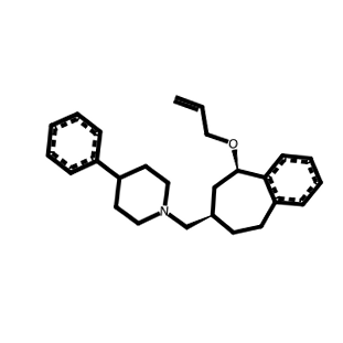 C=CCO[C@@H]1C[C@H](CN2CCC(c3ccccc3)CC2)CCc2ccccc21